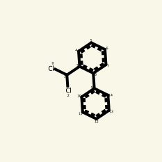 Cl[C](Cl)c1ccccc1-c1ccccc1